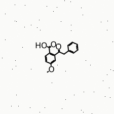 COc1ccc(C(=O)O)c(C(=O)Cc2ccccc2)c1